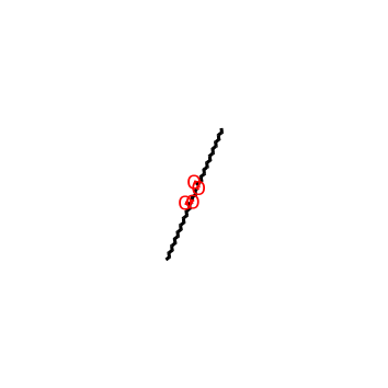 CCCCCCCCCCCCCCCCC(=O)OCCCOC(=O)CCCCCCCCCCCCCCCC